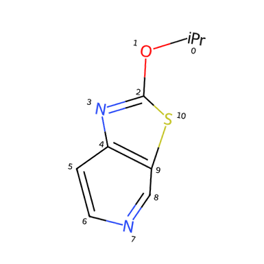 CC(C)Oc1nc2ccncc2s1